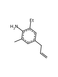 C=CCc1cc(C)c(N)c(CC)c1